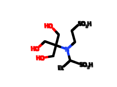 CCC(N(CCS(=O)(=O)O)C(CO)(CO)CO)S(=O)(=O)O